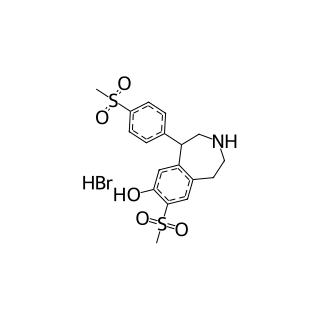 Br.CS(=O)(=O)c1ccc(C2CNCCc3cc(S(C)(=O)=O)c(O)cc32)cc1